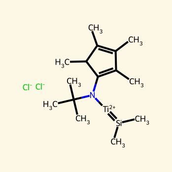 CC1=C(C)C(C)C([N]([Ti+2]=[Si](C)C)C(C)(C)C)=C1C.[Cl-].[Cl-]